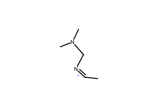 C/C=N\CN(C)C